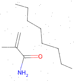 C=C(C)C(N)=O.CCCCCCCC